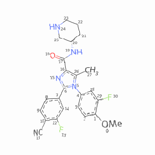 COc1ccc(-n2c(-c3ccc(C#N)c(F)c3)nc(C(=O)N[C@H]3CCCNC3)c2C)cc1F